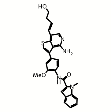 COc1cc(-c2csc3c(C=CCCO)cnc(N)c23)ccc1NC(=O)c1cc2ccccc2n1C